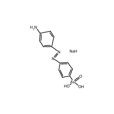 Nc1ccc(N=Nc2ccc([As](=O)(O)O)cc2)cc1.[NaH]